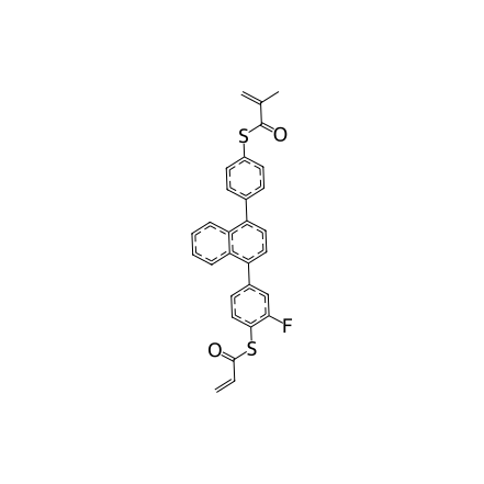 C=CC(=O)Sc1ccc(-c2ccc(-c3ccc(SC(=O)C(=C)C)cc3)c3ccccc23)cc1F